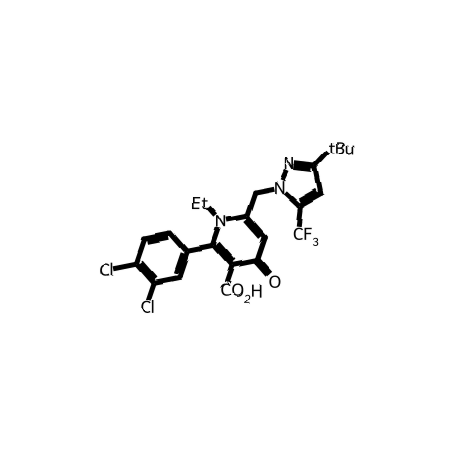 CCn1c(Cn2nc(C(C)(C)C)cc2C(F)(F)F)cc(=O)c(C(=O)O)c1-c1ccc(Cl)c(Cl)c1